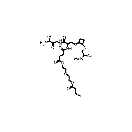 [3H]C(P)C(=O)CNC(=O)C(CSC1CCC1SCC(NC)C(C)=O)NC(=O)CCC(=O)OCCOCCOC(=O)CCC(C)=O